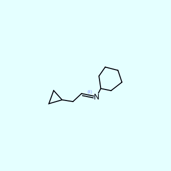 C(/CC1CC1)=N\C1CCCCC1